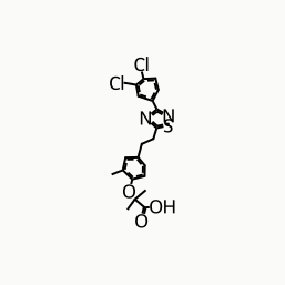 Cc1cc(CCc2nc(-c3ccc(Cl)c(Cl)c3)ns2)ccc1OC(C)(C)C(=O)O